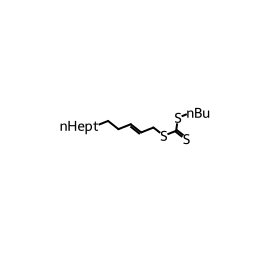 CCCCCCCCCC=CCSC(=S)SCCCC